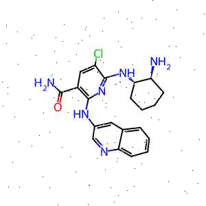 NC(=O)c1cc(Cl)c(N[C@@H]2CCCC[C@@H]2N)nc1Nc1cnc2ccccc2c1